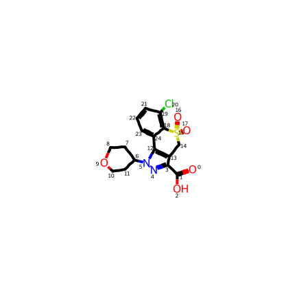 O=C(O)c1nn(C2CCOCC2)c2c1CS(=O)(=O)c1c(Cl)cccc1-2